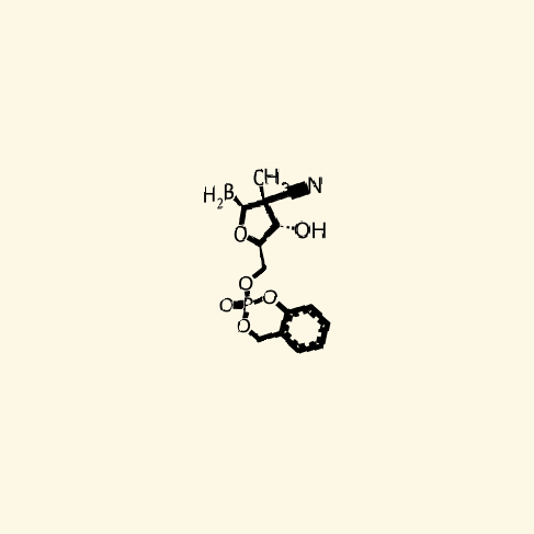 B[C@@H]1O[C@H](COP2(=O)OCc3ccccc3O2)[C@@H](O)[C@@]1(C)C#N